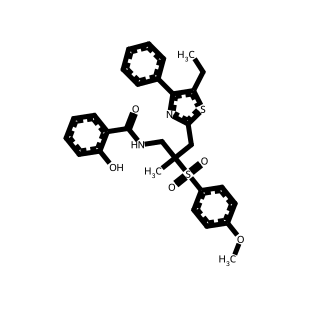 CCc1sc(CC(C)(CNC(=O)c2ccccc2O)S(=O)(=O)c2ccc(OC)cc2)nc1-c1ccccc1